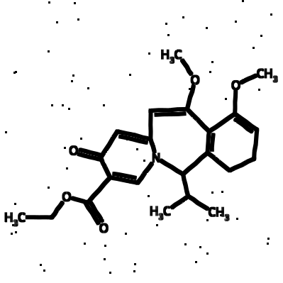 CCOC(=O)c1cn2c(cc1=O)C=C(OC)C1=C(CCC=C1OC)C2C(C)C